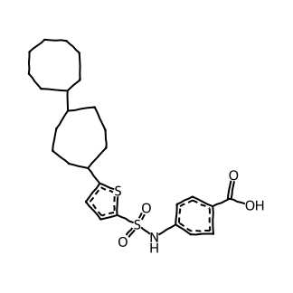 O=C(O)c1ccc(NS(=O)(=O)c2ccc(C3CCCC(C4CCCCCCC4)CCC3)s2)cc1